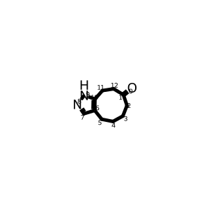 O=C1CCCCc2cn[nH]c2CC1